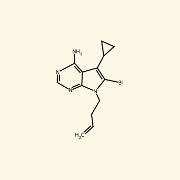 C=CCCn1c(Br)c(C2CC2)c2c(N)ncnc21